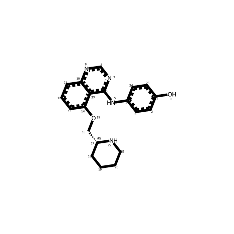 Oc1ccc(Nc2ncnc3cccc(OC[C@H]4CCCCN4)c23)cc1